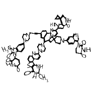 C[C@@H]1CNc2c(sc3ccc4nc(N5CCN(C(c6cc(C#CCN7CCN(c8ccc9c(c8)n(C)c(=O)n9C8CCC(=O)NC8=O)CC7)ccc6-c6nccc(-c7cc8c([nH]7)C7(CC7)CNC8=O)n6)C6CC7(CCN(c8ccc9c(N%10CCC(=O)NC%10=O)cncc9c8)CC7)C6)CC5)ccc4c23)C(=O)N1